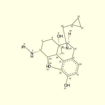 CC(C)N[C@@H]1CC[C@@]2(O)[C@H]3Cc4ccc(O)c5c4[C@@]2(CCN3CC2CC2)[C@H]1O5